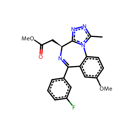 COC(=O)C[C@@H]1N=C(c2cccc(F)c2)c2cc(OC)ccc2-n2c(C)nnc21